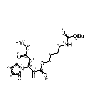 CC(C)COC(=O)NCCCCOC(=O)NC(=NC(=O)OC(C)(C)C)n1cccn1